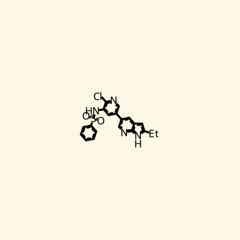 CCc1cc2cc(-c3cnc(Cl)c(NS(=O)(=O)c4ccccc4)c3)cnc2[nH]1